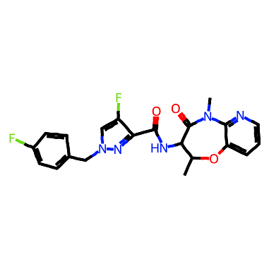 CC1Oc2cccnc2N(C)C(=O)C1NC(=O)c1nn(Cc2ccc(F)cc2)cc1F